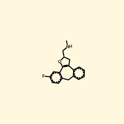 CNCC1CC2=C(O1)c1cc(F)ccc1Cc1ccccc12